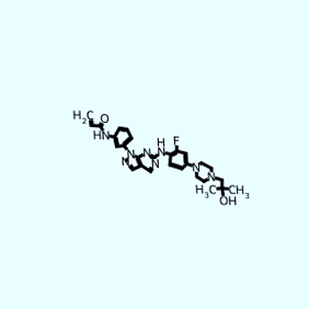 C=CC(=O)Nc1cccc(-n2ncc3cnc(Nc4ccc(N5CCN(CC(C)(C)O)CC5)cc4F)nc32)c1